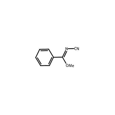 COC(=NC#N)c1ccccc1